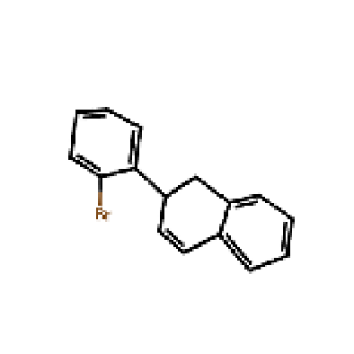 Brc1ccccc1C1C=Cc2ccccc2C1